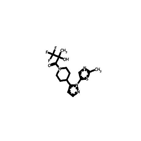 Cc1ncc(-n2nccc2C2CCN(C(=O)C(C)(O)C(F)(F)F)CC2)s1